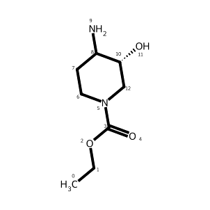 CCOC(=O)N1CCC(N)[C@H](O)C1